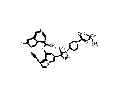 Cc1c(-c2cc(OC(C)c3cncc4cc(F)ccc34)c3c(C#N)cnn3c2)nnn1C1CCN(C(=O)OC(C)(C)C)CC1